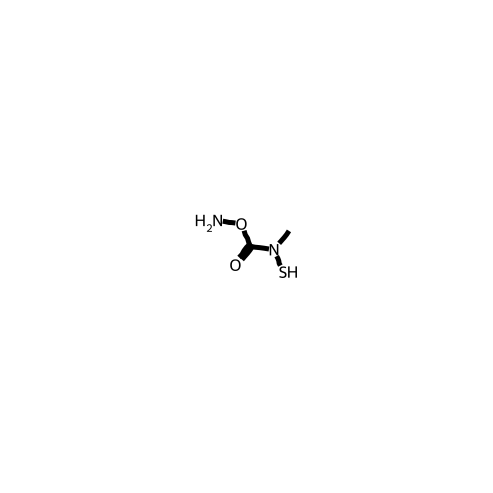 CN(S)C(=O)ON